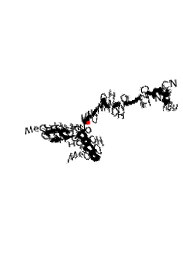 CCCCC(C)CC(C)(I)c1ncc(C(=O)NCCC(=O)NCC(=O)NCC(=O)NCC(=O)NC23CC(NC(=O)[C@]4(O)Cc5c(O)c6c(c(O)c5[C@@H](O[C@H]5C[C@H]7[C@H](O[C@@H]8[C@@H](OC)OCCN87)[C@H](C)O5)C4)C(=O)c4c(OC)cccc4C6=O)(C2)C3)cc1C#N